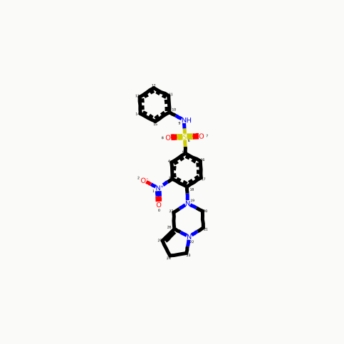 O=[N+]([O-])c1cc(S(=O)(=O)Nc2ccccc2)ccc1N1CCN2CCC=C2C1